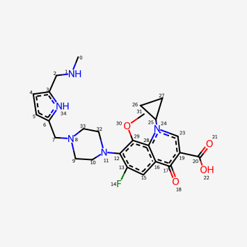 CNCc1ccc(CN2CCN(c3c(F)cc4c(=O)c(C(=O)O)cn(C5CC5)c4c3OC)CC2)[nH]1